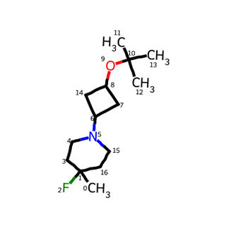 CC1(F)CCN(C2CC(OC(C)(C)C)C2)CC1